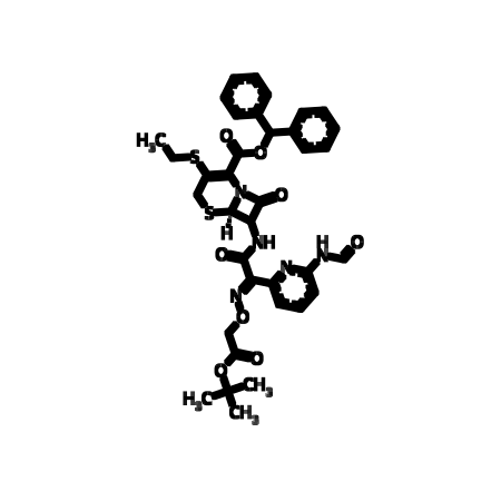 CCSC1=C(C(=O)OC(c2ccccc2)c2ccccc2)N2C(=O)C(NC(=O)/C(=N/OCC(=O)OC(C)(C)C)c3cccc(NC=O)n3)[C@H]2SC1